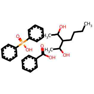 CCCCC(C(C)O)C(C)O.O=C(O)c1ccccc1.O=P(O)(c1ccccc1)c1ccccc1